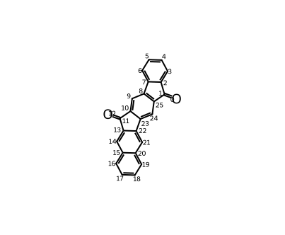 O=c1c2ccccc2c2cc3c(=O)c4cc5ccccc5cc4c3cc12